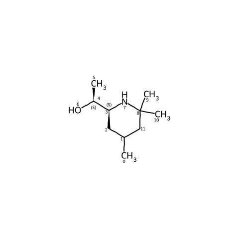 CC1C[C@@H]([C@H](C)O)NC(C)(C)C1